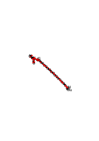 Cc1noc(C)c1-c1ccc2c(c1)nc(CCc1ccc(OCCOCCOCCOCCOCCOCCOCCOCCOCCOCCOCCOCCOCCOCCOCCOCCNC(=O)OC(C)(C)C)c(Cl)c1)n2CC(C)N1CCOCC1